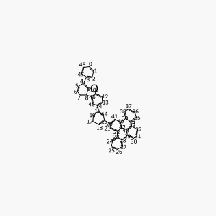 c1ccc(-c2cccc3c2oc2ccc(-c4cccc(-c5cc6c7ccccc7c7cccc8c9ccccc9c(c5)c6c78)c4)cc23)cc1